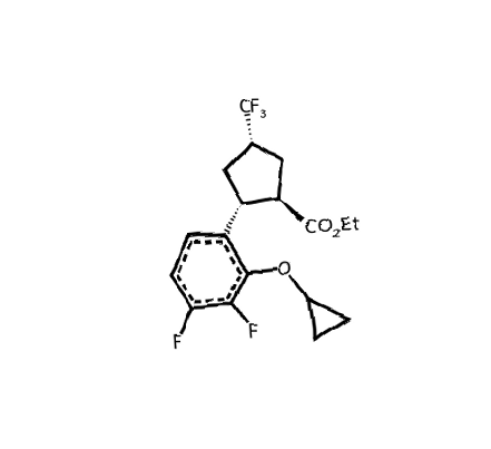 CCOC(=O)[C@@H]1C[C@@H](C(F)(F)F)C[C@H]1c1ccc(F)c(F)c1OC1CC1